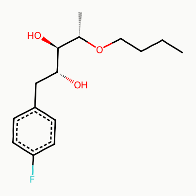 CCCCO[C@@H](C)[C@H](O)[C@H](O)Cc1ccc(F)cc1